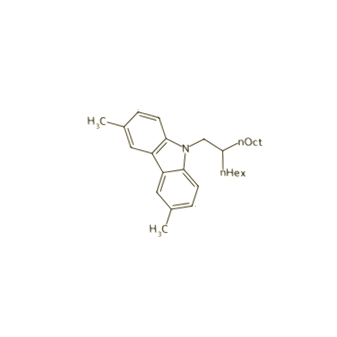 CCCCCCCCC(CCCCCC)Cn1c2c[c]c(C)cc2c2cc(C)[c]cc21